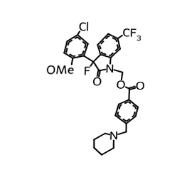 COc1ccc(Cl)cc1C1(F)C(=O)N(COC(=O)c2ccc(CN3CCCCC3)cc2)c2cc(C(F)(F)F)ccc21